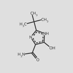 CC(C)(C)c1nc(C(N)=O)c(O)[nH]1